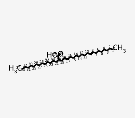 CCCCCCCCC=CCCCCCCCCCCC(CCCCCCCCCCCCCC)C(=O)O